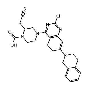 N#CCC1CN(c2nc(Cl)nc3c2CCC(N2CCc4ccccc4C2)=C3)CCN1C(=O)O